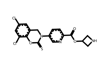 O=C(OC1CNC1)c1ccc(N2Cc3cc(Cl)cc(Cl)c3OC2=S)cn1